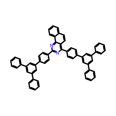 c1ccc(-c2cc(-c3ccccc3)cc(-c3ccc(-c4nc(-c5ccc(-c6cc(-c7ccccc7)cc(-c7ccccc7)c6)cc5)c5ccc6ccccc6c5n4)cc3)c2)cc1